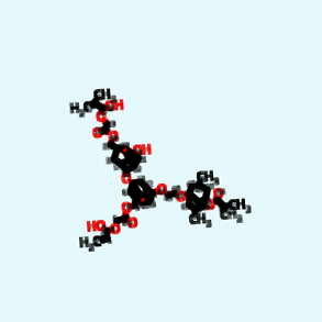 C=CC(O)OCC(=O)OCC12CC3CC(OC4C5CC6(O)CC4CC(COC(=O)COC(O)C(=C)C)(C5)C6)(CC(C1)C3OCCOC13CC(C)CC(OC(=O)C(=C)C)(CC(C)C1)C3)C2